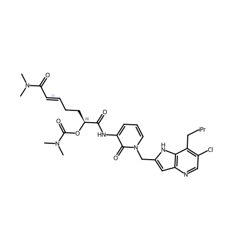 CC(C)Cc1c(Cl)cnc2cc(Cn3cccc(NC(=O)[C@H](CC/C=C/C(=O)N(C)C)OC(=O)N(C)C)c3=O)[nH]c12